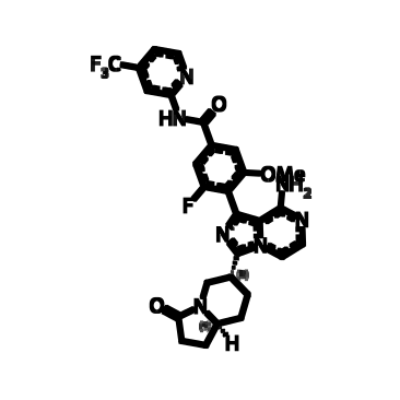 COc1cc(C(=O)Nc2cc(C(F)(F)F)ccn2)cc(F)c1-c1nc([C@@H]2CC[C@H]3CCC(=O)N3C2)n2ccnc(N)c12